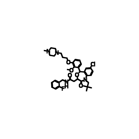 COc1c(OCCCN2CCN(C)CC2)cccc1C1OC(CC(=O)NCc2ccccc2F)C(=O)N(CC(C)(C)C)c2ccc(Cl)cc21